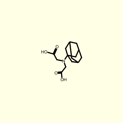 O=C(O)CN(CC(=O)O)C12CC3CC(CC(C3)C1)C2